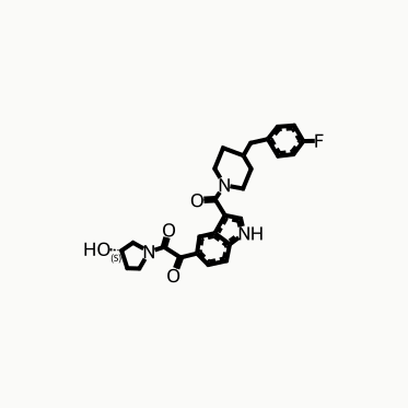 O=C(C(=O)N1CC[C@H](O)C1)c1ccc2[nH]cc(C(=O)N3CCC(Cc4ccc(F)cc4)CC3)c2c1